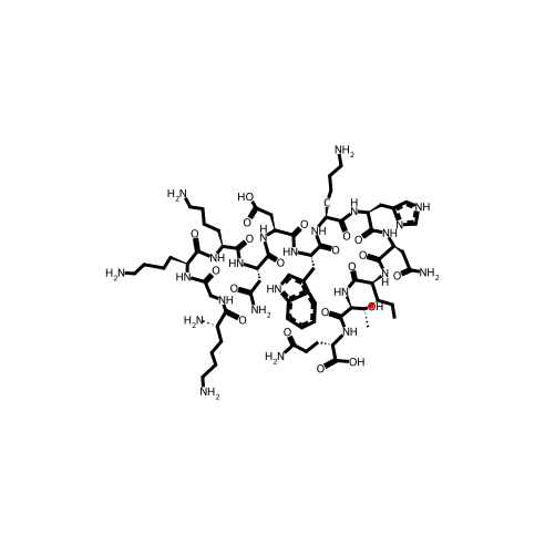 CC[C@H](C)[C@H](NC(=O)[C@H](CC(N)=O)NC(=O)[C@H](Cc1c[nH]cn1)NC(=O)[C@H](CCCCN)NC(=O)[C@H](Cc1c[nH]c2ccccc12)NC(=O)[C@H](CC(=O)O)NC(=O)[C@H](CC(N)=O)NC(=O)[C@H](CCCCN)NC(=O)[C@H](CCCCN)NC(=O)CNC(=O)[C@@H](N)CCCCN)C(=O)N[C@H](C(=O)N[C@@H](CCC(N)=O)C(=O)O)[C@@H](C)O